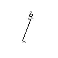 CCCCCCCCCCCCCCCCCC(=O)Nc1ccc(Cl)cc1